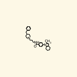 Cc1cc2c(n1-c1ccc(C(=O)NCCCN3CCC(Cc4ccccc4)CC3)cc1)CCCC2